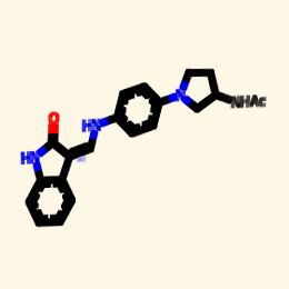 CC(=O)NC1CCN(c2ccc(N/C=C3\C(=O)Nc4ccccc43)cc2)C1